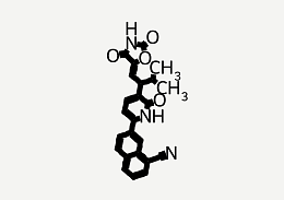 CC(C)C(C=C1OC(=O)NC1=O)c1ccc(-c2ccc3cccc(C#N)c3c2)[nH]c1=O